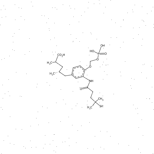 CC(C[C@@H](C)Cc1ccc(OCOP(=O)(O)O)c(NC(=O)CCC(C)(C)S)c1)C(=O)O